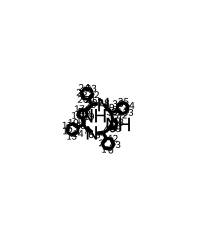 c1ccc(-c2cncc(-c3ccccc3)c3ccc([nH]3)c(-c3ccccc3)cncc(-c3ccccc3)c3ccc2[nH]3)cc1